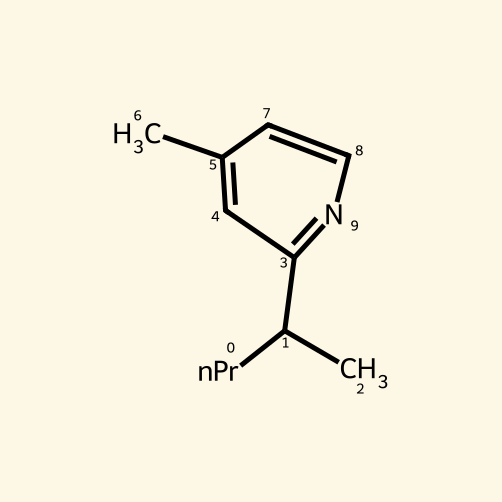 CCCC(C)c1cc(C)ccn1